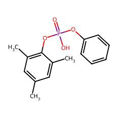 Cc1cc(C)c(OP(=O)(O)Oc2ccccc2)c(C)c1